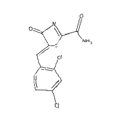 NC(=O)C1=NC(=O)C(=Cc2ccc(Cl)cc2Cl)S1